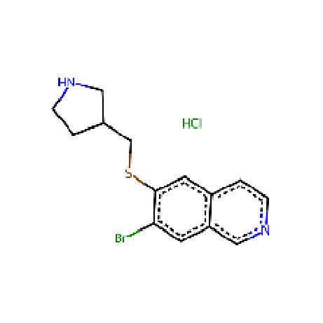 Brc1cc2cnccc2cc1SCC1CCNC1.Cl